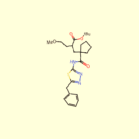 COCCC(CC1(C(=O)Nc2nnc(Cc3ccccc3)s2)CCCC1)C(=O)OC(C)(C)C